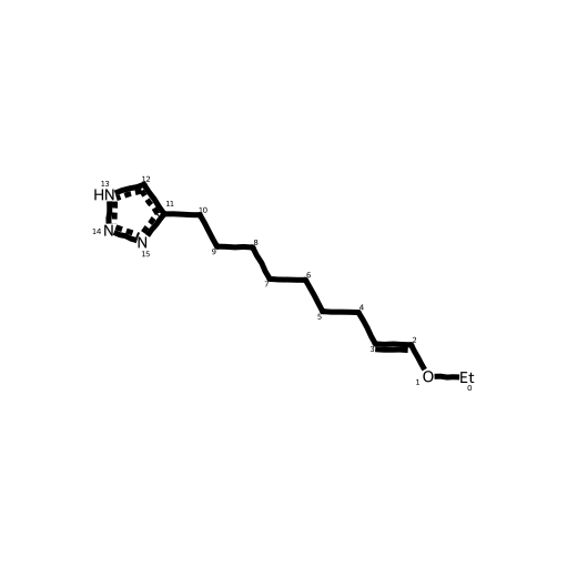 CCOC=CCCCCCCCc1c[nH]nn1